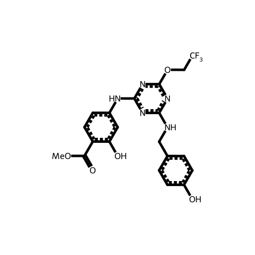 COC(=O)c1ccc(Nc2nc(NCc3ccc(O)cc3)nc(OCC(F)(F)F)n2)cc1O